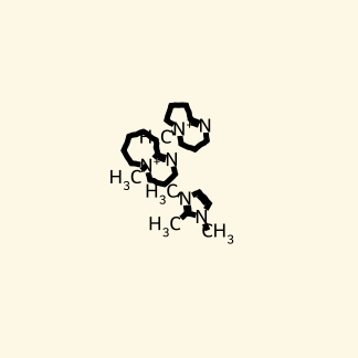 C[N+]12CCCCCC1=NCCC2.C[N+]12CCCN=C1CCC2.Cc1n(C)cc[n+]1C